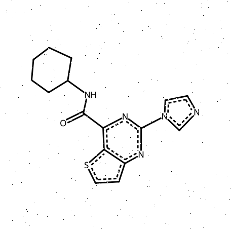 O=C(NC1CCCCC1)c1nc(-n2ccnc2)nc2ccsc12